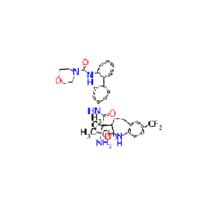 CC(C)(N)C(C)(C(=O)Nc1ccc(-c2ccccc2NC(=O)N2CCOCC2)cc1)[C@H]1CCc2cc(C(F)(F)F)ccc2NC1=O